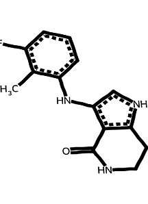 Cc1c(F)cccc1Nc1c[nH]c2c1C(=O)NCC2